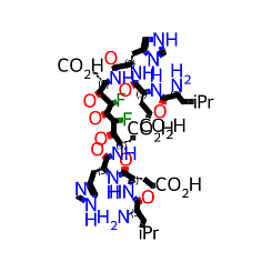 CC(C)C[C@H](N)C(=O)N[C@@H](CCC(=O)O)C(=O)N[C@@H](Cc1c[nH]cn1)C(=O)N[C@@H](CC(=O)O)C(=O)C(F)C(=O)C(F)C(=O)[C@H](CC(=O)O)NC(=O)[C@H](Cc1c[nH]cn1)NC(=O)[C@H](CCC(=O)O)NC(=O)[C@@H](N)CC(C)C